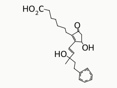 CC(O)(C=CC1=C(CCCCCCC(=O)O)C(=O)CC1O)CCc1ccccc1